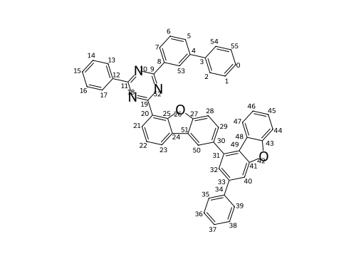 c1ccc(-c2cccc(-c3nc(-c4ccccc4)nc(-c4cccc5c4oc4ccc(-c6cc(-c7ccccc7)cc7oc8ccccc8c67)cc45)n3)c2)cc1